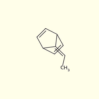 CC=C1C2C=CC1C=C2